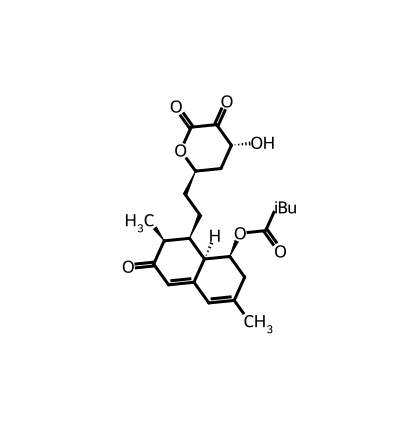 CCC(C)C(=O)O[C@H]1CC(C)=CC2=CC(=O)[C@@H](C)[C@@H](CC[C@@H]3C[C@@H](O)C(=O)C(=O)O3)[C@H]21